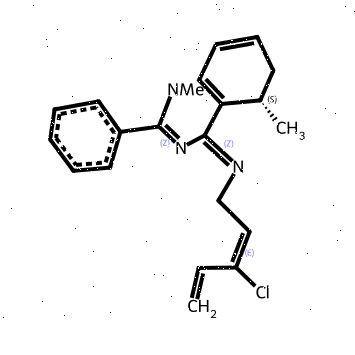 C=C/C(Cl)=C\C/N=C(\N=C(/NC)c1ccccc1)C1=CC=CC[C@@H]1C